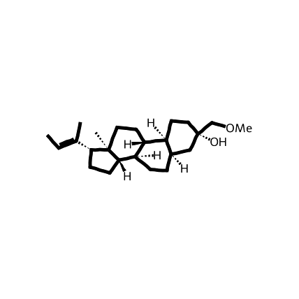 C/C=C(\C)[C@H]1CC[C@H]2[C@@H]3CC[C@@H]4C[C@](O)(COC)CC[C@@H]4[C@H]3CC[C@]12C